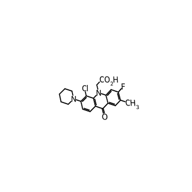 Cc1cc2c(=O)c3ccc(N4CCCCC4)c(Cl)c3n(CC(=O)O)c2cc1F